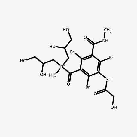 CNC(=O)c1c(Br)c(NC(=O)CO)c(Br)c(C(=O)[N+](C)(CC(O)CO)CC(O)CO)c1Br